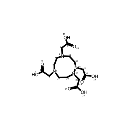 O=C(O)CN1CCN(CC(=O)O)CCN(CC(=O)O)N(CC(=O)O)CC1